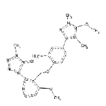 COc1cccc(-n2nnn(C)c2=O)c1COc1ccc(-c2nn(C)c(OC)c2C)cc1C